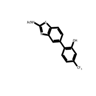 CC(=O)Nc1nc2[c]c(-c3ccc(C(F)(F)F)cc3O)ccc2s1